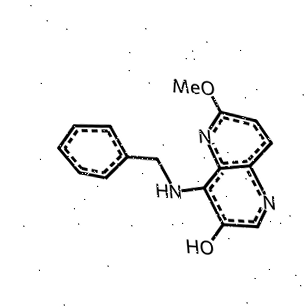 COc1ccc2ncc(O)c(NCc3ccccc3)c2n1